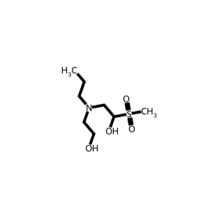 CCCN(CCO)CC(O)S(C)(=O)=O